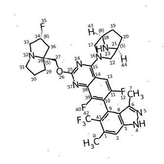 Cc1cc2[nH]nc(C)c2c(-c2c(F)cc3c(N4C[C@H]5CC[C@@H](C4)N5)nc(OC[C@@]45CCCN4C[C@H](F)C5)nc3c2F)c1C(F)(F)F